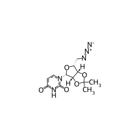 CC1(C)O[C@@H]2[C@H](O1)[C@H](n1ccc(=O)[nH]c1=O)O[C@@H]2CN=[N+]=[N-]